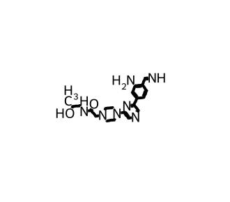 C[C@H](O)CNC(=O)CN1CCN(c2cncc(-c3ccc(C=N)c(N)c3)n2)CC1